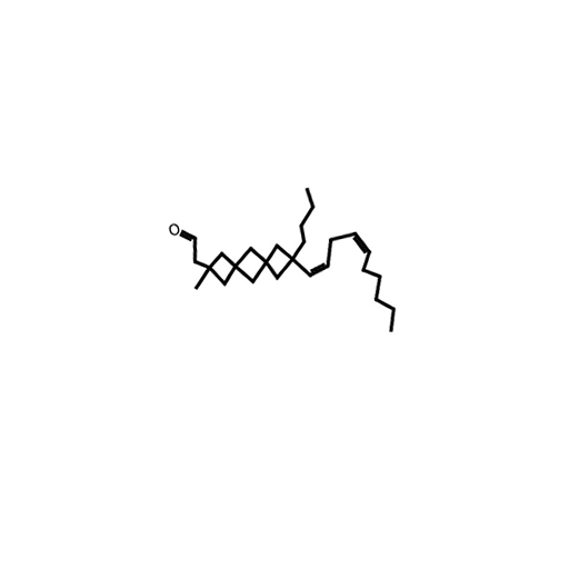 CCCCC/C=C\C/C=C\C1(CCCC)CC2(C1)CC1(CC(C)(CC=O)C1)C2